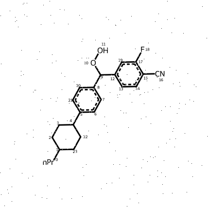 CCCC1CCC(c2ccc(C(OO)c3ccc(C#N)c(F)c3)cc2)CC1